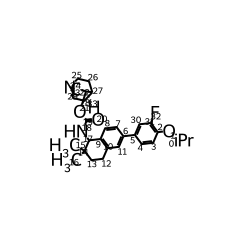 CC(C)Oc1ccc(-c2ccc3c(c2)CCC(C)(C)C3NC(=O)O[C@H]2CN3CCC2CC3)cc1F